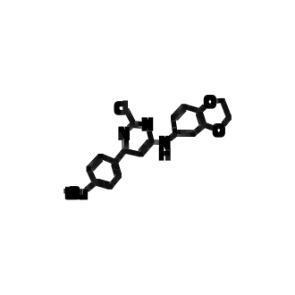 CC(C)(C)c1ccc(-c2cc(Nc3ccc4c(c3)OCCO4)nc(Cl)n2)cc1